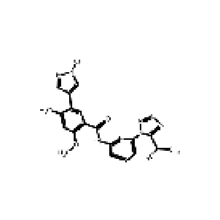 COc1cc(C)c(-c2cnn(C)c2)cc1C(=O)Nc1cccc(-n2nnnc2C(C)C)n1